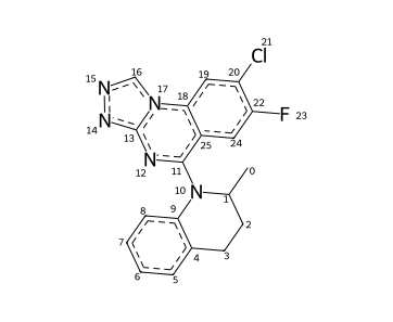 CC1CCc2ccccc2N1c1nc2nncn2c2cc(Cl)c(F)cc12